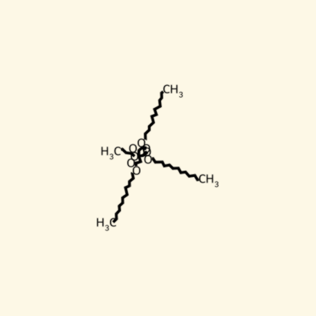 CCCCCCCCCCCCCOC(=O)CC(CC(=O)OCCCCCCCCCCCCC)(OC(=O)CCC)C(=O)OCCCCCCCCCCCCC